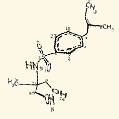 CC(C)c1ccc(S(=O)(=O)NC(C)(CO)CO)cc1